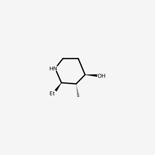 CC[C@H]1NCC[C@@H](O)[C@@H]1C